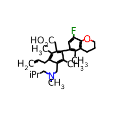 C=CCc1c(C)c(CC(=O)O)c(-c2cc(F)c3c(c2C)CCCO3)c(C)c1CN(C)CC(C)C